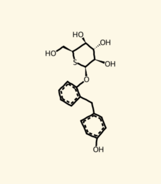 OC[C@@H]1S[C@H](Oc2ccccc2Cc2ccc(O)cc2)[C@H](O)[C@@H](O)[C@@H]1O